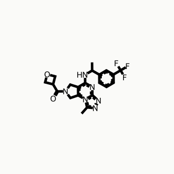 Cc1nnc2nc(NC(C)c3cccc(C(F)(F)F)c3)c3c(n12)CN(C(=O)C1COC1)C3